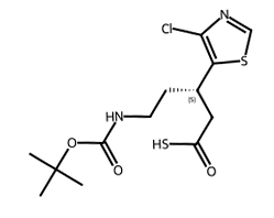 CC(C)(C)OC(=O)NCC[C@@H](CC(=O)S)c1scnc1Cl